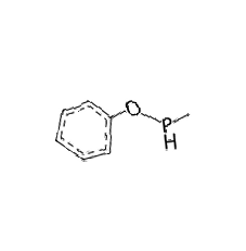 CPOc1ccccc1